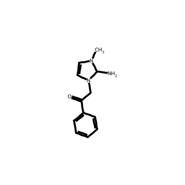 CN1C=CN(CC(=O)c2ccccc2)C1N